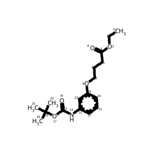 CCOC(=O)CCCOc1cccc(NC(=O)OC(C)(C)C)c1